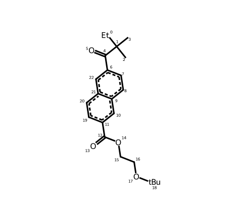 CCC(C)(C)C(=O)c1ccc2cc(C(=O)OCCOC(C)(C)C)ccc2c1